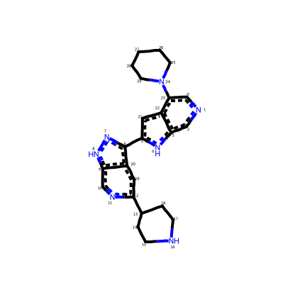 c1ncc2[nH]c(-c3n[nH]c4cnc(C5CCNCC5)cc34)cc2c1N1CCCCC1